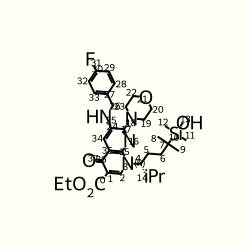 CCOC(=O)c1cn([C@H](CCC(C)(C)[Si](C)(C)O)C(C)C)c2nc(N3CCOCC3)c(NCc3ccc(F)cc3)cc2c1=O